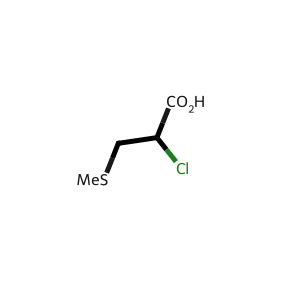 CSCC(Cl)C(=O)O